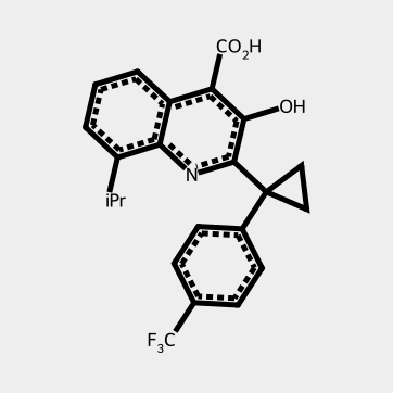 CC(C)c1cccc2c(C(=O)O)c(O)c(C3(c4ccc(C(F)(F)F)cc4)CC3)nc12